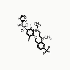 CCNCCN(C)c1cc(C(F)(F)F)ccc1COc1cc(F)c(S(=O)(=O)Nc2ncns2)cc1F